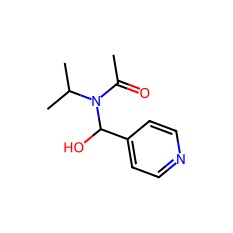 CC(=O)N(C(C)C)C(O)c1ccncc1